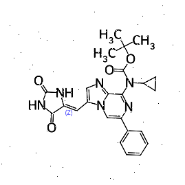 CC(C)(C)OC(=O)N(c1nc(-c2ccccc2)cn2c(/C=C3\NC(=O)NC3=O)cnc12)C1CC1